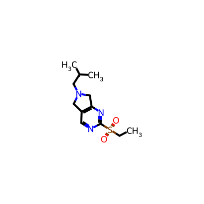 CCS(=O)(=O)c1ncc2c(n1)CN(C[C](C)C)C2